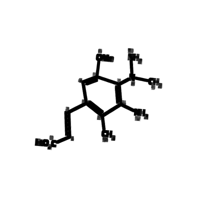 CCOC(=O)/C=C/c1cc(OC)c(N(C)N)c(N)c1C